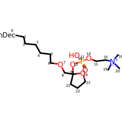 CCCCCCCCCCCCCCCCOCC1(OP(=O)(O)OCC[N+](C)(C)C)CCCO1